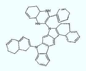 C1=CC(C2=C(n3c4c(c5cc6c7ccccc7n(C7=CC=C8C=CCCC8C7)c6cc53)-c3ccccc3CC4)NC3C=CCCC3N2)=CCC1